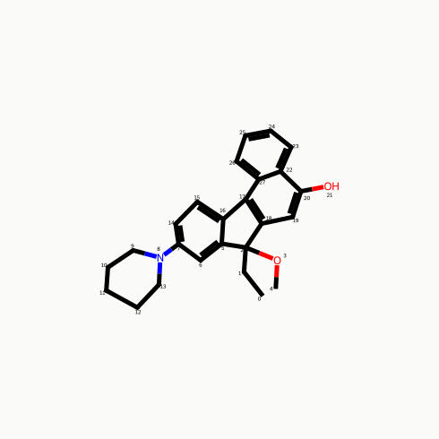 CCC1(OC)c2cc(N3CCCCC3)ccc2-c2c1cc(O)c1ccccc21